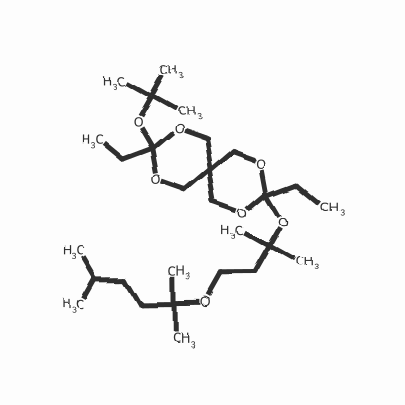 CCC1(OC(C)(C)C)OCC2(CO1)COC(CC)(OC(C)(C)CCOC(C)(C)CCC(C)C)OC2